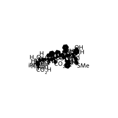 CC[C@H](C)[C@H](NC(=O)[C@H](CC(C)C)NC(=O)[C@H](C)NC(=O)[C@H](CSCc1ccccc1)NC(=O)[C@H](CC(C)C)NC(=O)[C@H](CCC(=O)O)NC(=O)[C@@H]1CCCN1C(=O)[C@H](Cc1c[nH]c2ccccc12)NC(=O)[C@H](Cc1c[nH]c2ccccc12)NC(=O)[C@H](CC(=O)O)NC(=O)[C@H](Cc1ccc(O)cc1)NC(=O)[C@@H](N)CCSC)C(=O)O